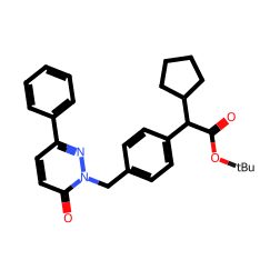 CC(C)(C)OC(=O)C(c1ccc(Cn2nc(-c3ccccc3)ccc2=O)cc1)C1CCCC1